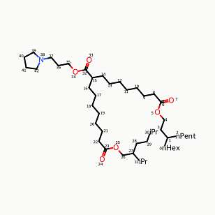 CCCCCCC(CCCCC)CCOC(=O)CCCCCCCC(CCCCCCCC(=O)OCC(CCC(C)C)C(C)C)C(=O)OCCCN1CCCC1